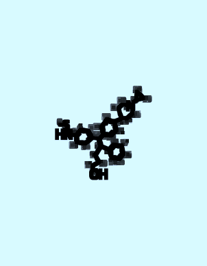 CSNc1ccc(/C(=C(\CCCO)c2ccccc2)c2ccc(C3CCN(C4CC4)CC3)cc2)cc1